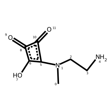 CN(CCN)c1c(O)c(=O)c1=O